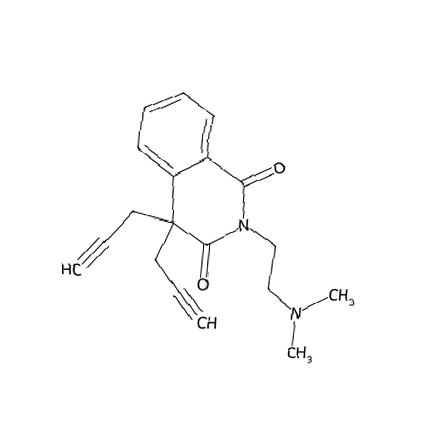 C#CCC1(CC#C)C(=O)N(CCN(C)C)C(=O)c2ccccc21